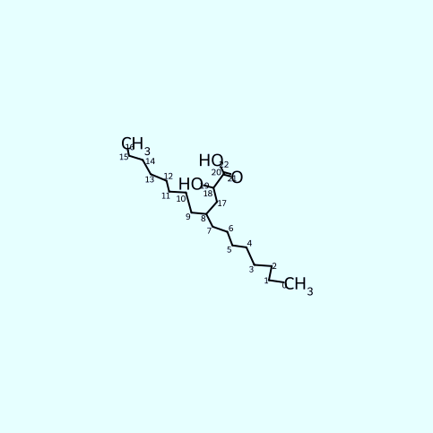 CCCCCCCCC(CCCCCCCC)CC(O)C(=O)O